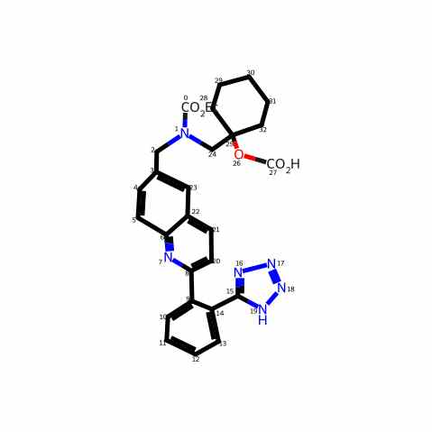 CCOC(=O)N(Cc1ccc2nc(-c3ccccc3-c3nnn[nH]3)ccc2c1)CC1(OC(=O)O)CCCCC1